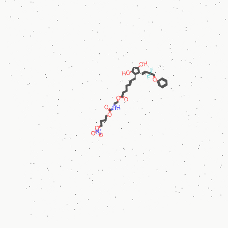 O=C(CCC/C=C/C[C@@H]1[C@@H](/C=C/C(F)(F)COc2ccccc2)[C@H](O)C[C@@H]1O)OCCNC(=O)OCCCCO[N+](=O)[O-]